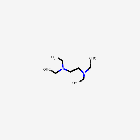 O=CCN(CC=O)CCN(CC=O)CC(=O)O